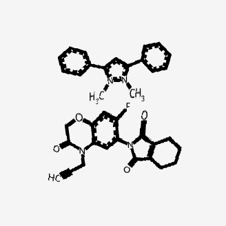 C#CCN1C(=O)COc2cc(F)c(N3C(=O)C4=C(CCCC4)C3=O)cc21.Cn1c(-c2ccccc2)cc(-c2ccccc2)[n+]1C